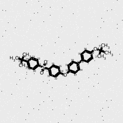 CC(C)(C)Oc1ccc(-c2ccc(Oc3ccc(S(=O)(=O)c4ccc(C(C)(C)C)cc4)cc3)cc2)cc1